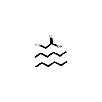 CCCCCC.CCCCCC.O=C(O)CO